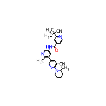 Cc1ncc(NC(=O)c2ccnc(C(C)(C)C#N)c2)cc1-c1cnc(N2CCCCC2C)c(C#N)c1